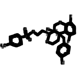 Cc1ccc(S(=O)(=O)OCC[C@@H]2OCC[C@@]3(Cc4ccc(Cl)cc4)c4c(F)ccc(F)c4OC[C@@H]23)cc1